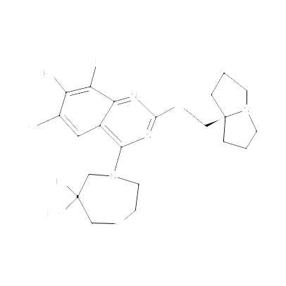 CC1(O)COCCN(c2nc(OC[C@@]34CCCN3C[C@H](F)C4)nc3c(F)c(Br)c(Cl)cc23)C1